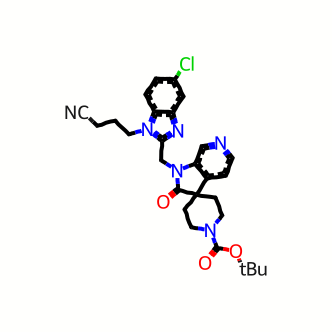 CC(C)(C)OC(=O)N1CCC2(CC1)C(=O)N(Cc1nc3cc(Cl)ccc3n1CCCC#N)c1cnccc12